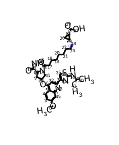 COc1ccc2c(O[C@@H]3C[C@@H](C(N)=O)N(C(=O)CCCCCC/C=C\[C@@H]4C[C@@H]4C(=O)O)C3)cc(-c3csc(NC(C)C)n3)nc2c1